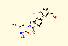 CC(C)(C)NC(=O)C(CCC(=O)O)N1Cc2c(ccc(-c3cc(CO)ccn3)c2F)C1=O